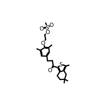 Cc1cc(CCC(=O)c2sc(C)c3c2CCC(C)(C)C3)cc(C)c1OCCOS(C)(=O)=O